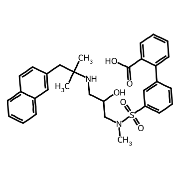 CN(CC(O)CNC(C)(C)Cc1ccc2ccccc2c1)S(=O)(=O)c1cccc(-c2ccccc2C(=O)O)c1